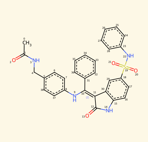 CC(=O)NCc1ccc(N/C(=C2\C(=O)Nc3ccc(S(=O)(=O)Nc4ccccc4)cc32)c2ccccc2)cc1